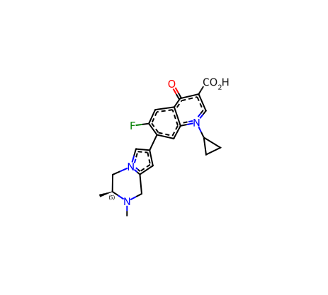 C[C@H]1Cn2cc(-c3cc4c(cc3F)c(=O)c(C(=O)O)cn4C3CC3)cc2CN1C